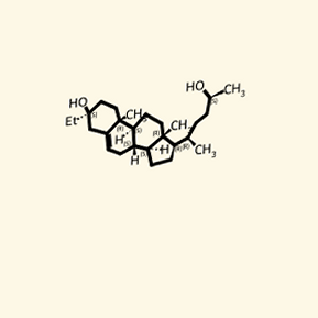 CC[C@]1(O)CC[C@@]2(C)C(=CC[C@H]3[C@@H]4CC[C@H]([C@H](C)CC[C@H](C)O)[C@@]4(C)CC[C@@H]32)C1